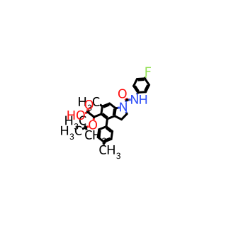 Cc1ccc(-c2c3c(cc(C)c2C(OC(C)(C)C)C(=O)O)N(C(=O)Nc2ccc(F)cc2)CC3)cc1